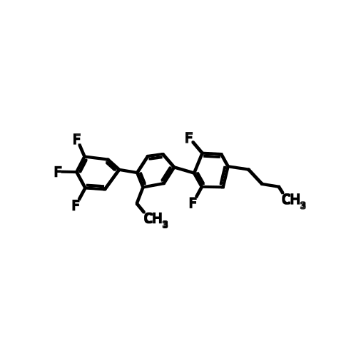 CCCCc1cc(F)c(-c2ccc(-c3cc(F)c(F)c(F)c3)c(CC)c2)c(F)c1